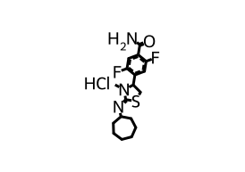 CN1C(=NC2CCCCCC2)SCC1c1cc(F)c(C(N)=O)cc1F.Cl